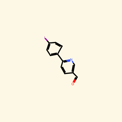 O=Cc1ccc(-c2ccc(I)cc2)nc1